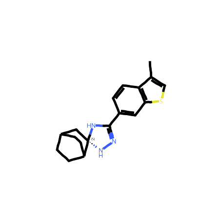 Cc1csc2cc(C3=NN[C@]4(CC5CCC4CC5)N3)ccc12